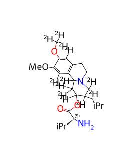 [2H]c1c2c(c([2H])c(OC)c1OC([2H])([2H])[2H])C1([2H])N(CC2)C([2H])([2H])C([2H])(CC(C)C)C([2H])(OC(=O)[C@@H](N)C(C)C)C1([2H])[2H]